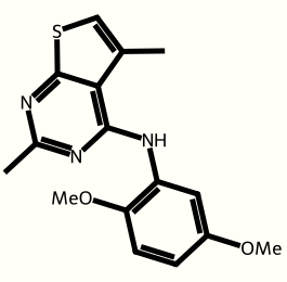 COc1ccc(OC)c(Nc2nc(C)nc3scc(C)c23)c1